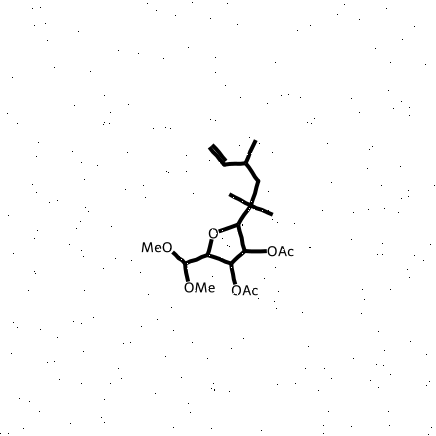 C=CC(C)CC(C)(C)C1OC(C(OC)OC)C(OC(C)=O)C1OC(C)=O